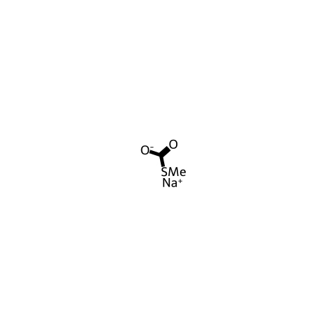 CSC(=O)[O-].[Na+]